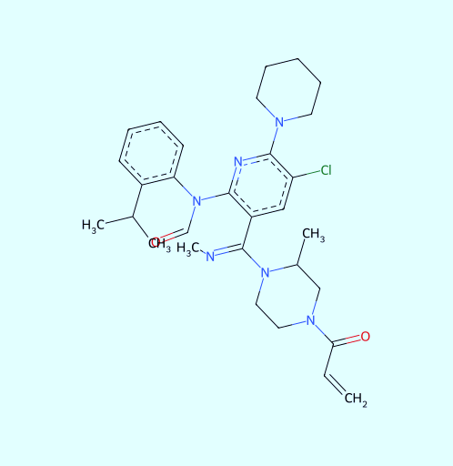 C=CC(=O)N1CCN(/C(=N/C)c2cc(Cl)c(N3CCCCC3)nc2N(C=O)c2ccccc2C(C)C)C(C)C1